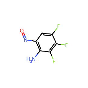 Nc1c(N=O)cc(F)c(F)c1F